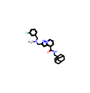 CN(Cc1cccc(F)c1)Cc1cc2c(C(=O)NCC34CC5CC(CC(C5)C3)C4)cccn2n1